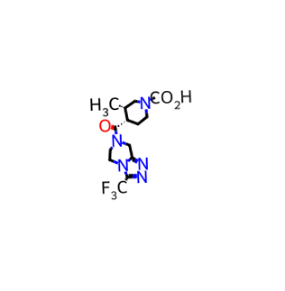 C[C@@H]1CN(C(=O)O)CC[C@@H]1C(=O)N1CCn2c(nnc2C(F)(F)F)C1